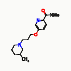 CNC(=O)c1ccc(OCCCN2CCCC(C)C2)cn1